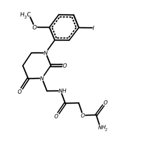 COc1ccc(I)cc1N1CCC(=O)N(CNC(=O)COC(N)=O)C1=O